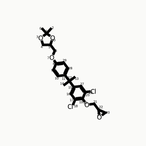 CC1(C)OCC(COc2ccc(C(C)(C)c3cc(Cl)c(OCC4CO4)c(Cl)c3)cc2)O1